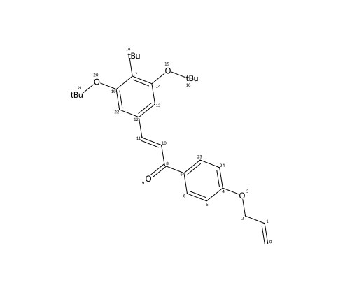 C=CCOc1ccc(C(=O)C=Cc2cc(OC(C)(C)C)c(C(C)(C)C)c(OC(C)(C)C)c2)cc1